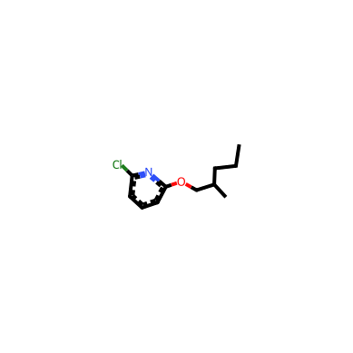 CCCC(C)COc1cccc(Cl)n1